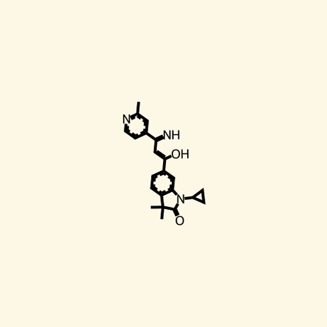 Cc1cc(C(=N)/C=C(\O)c2ccc3c(c2)N(C2CC2)C(=O)C3(C)C)ccn1